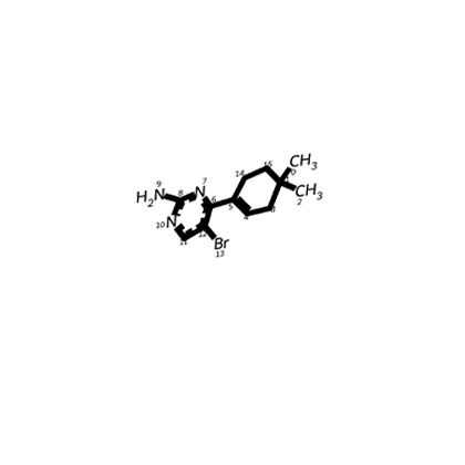 CC1(C)CC=C(c2nc(N)ncc2Br)CC1